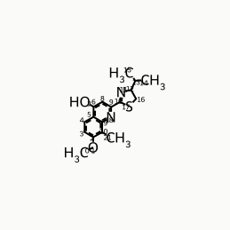 COc1ccc2c(O)cc(C3=NC(C(C)C)CS3)nc2c1C